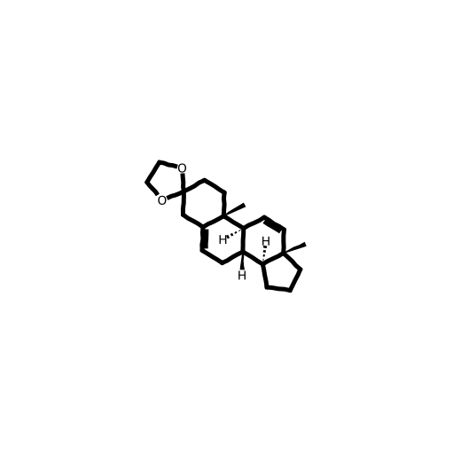 C[C@]12CCC3(CC1=CC[C@@H]1[C@@H]2C=C[C@]2(C)CCC[C@@H]12)OCCO3